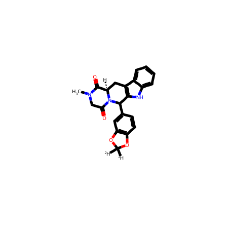 [2H]C1([2H])Oc2ccc(C3c4[nH]c5ccccc5c4C[C@@H]4C(=O)N(C)CC(=O)N34)cc2O1